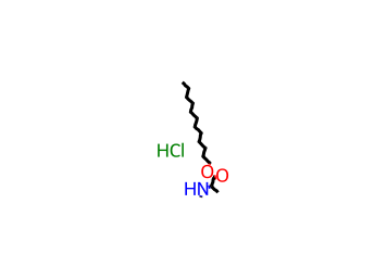 CCCCCCCCCCCCOC(=O)C(C)NC.Cl